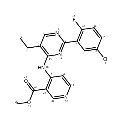 CCc1cnc(-c2cc(Cl)ccc2F)nc1Nc1ccncc1C(=O)OC